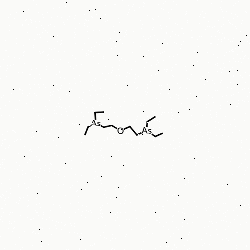 CC[As](CC)CCOCC[As](CC)CC